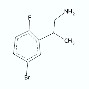 CC(CN)c1cc(Br)ccc1F